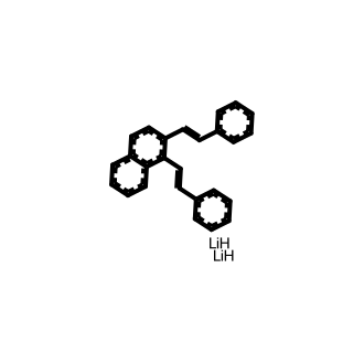 C(=Cc1ccc2ccccc2c1C=Cc1ccccc1)c1ccccc1.[LiH].[LiH]